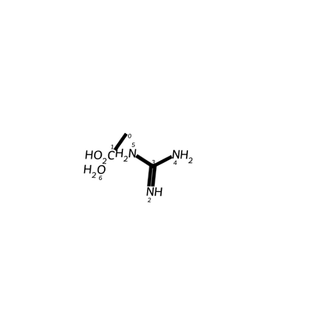 CC(=O)O.N=C(N)N.O